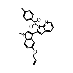 C=CCOc1ccc2c(c1)c(-c1cc3cccnc3n1S(=O)(=O)c1ccc(C)cc1)cn2C